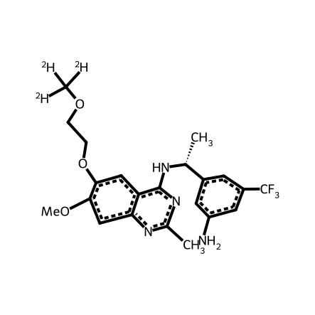 [2H]C([2H])([2H])OCCOc1cc2c(N[C@H](C)c3cc(N)cc(C(F)(F)F)c3)nc(C)nc2cc1OC